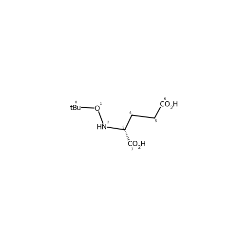 CC(C)(C)ON[C@H](CCC(=O)O)C(=O)O